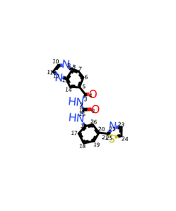 O=C(NC(=O)c1ccc2nccnc2c1)Nc1cccc(-c2nccs2)c1